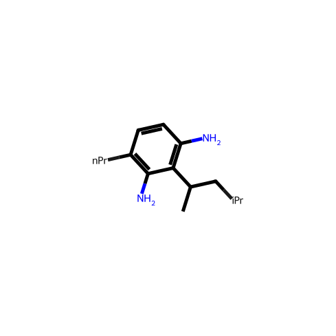 CCCc1ccc(N)c(C(C)CC(C)C)c1N